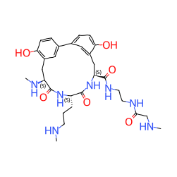 CNCCC[C@@H]1NC(=O)[C@@H](NC)Cc2cc(ccc2O)-c2ccc(O)c(c2)C[C@@H](C(=O)NCCNC(=O)CNC)NC1=O